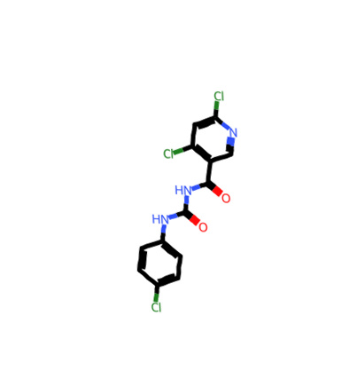 O=C(NC(=O)c1cnc(Cl)cc1Cl)Nc1ccc(Cl)cc1